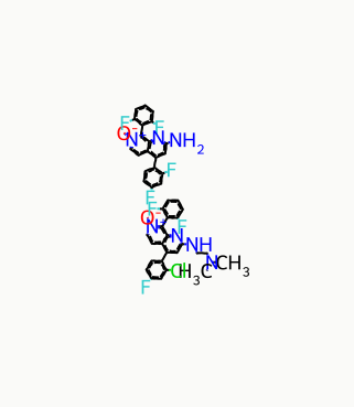 CN(C)CCNc1cc(-c2ccc(F)cc2Cl)c2cc[n+]([O-])c(-c3c(F)cccc3F)c2n1.Nc1cc(-c2ccc(F)cc2F)c2cc[n+]([O-])c(-c3c(F)cccc3F)c2n1